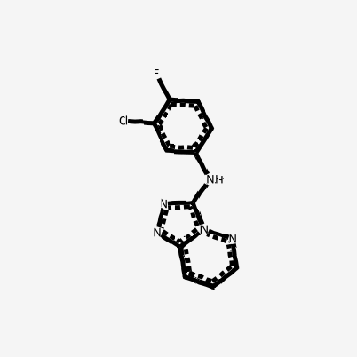 Fc1ccc(Nc2nnc3cccnn23)cc1Cl